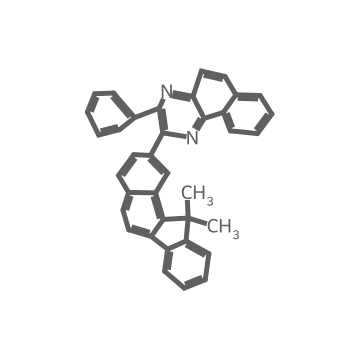 CC1(C)c2ccccc2-c2ccc3ccc(-c4nc5c(ccc6ccccc65)nc4-c4ccccc4)cc3c21